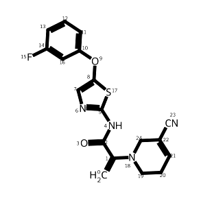 C=C(C(=O)Nc1ncc(Oc2cccc(F)c2)s1)N1CCC=C(C#N)C1